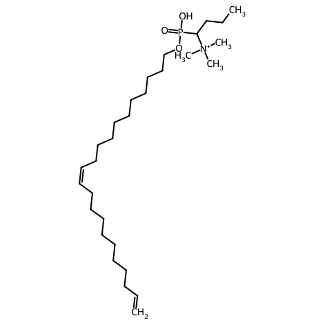 C=CCCCCCCCC/C=C\CCCCCCCCCCOP(=O)(O)C(CCC)[N+](C)(C)C